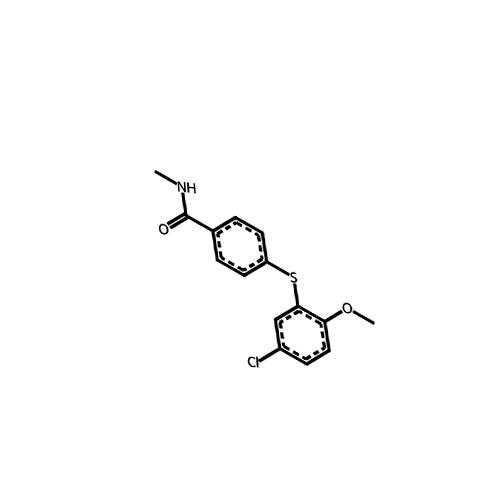 CNC(=O)c1ccc(Sc2cc(Cl)ccc2OC)cc1